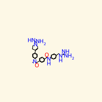 CN(C(=O)c1ccc(C(=O)Nc2ccc(CNC(=N)N)cc2)cc1)c1ccc(C2=CCN(C(=N)N)CC2)cc1